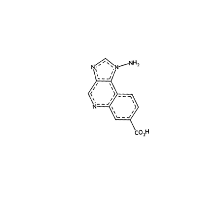 Nn1cnc2cnc3cc(C(=O)O)ccc3c21